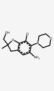 CC1(CO)Cc2cc(N)c(N3CCOCC3)c(Cl)c2O1